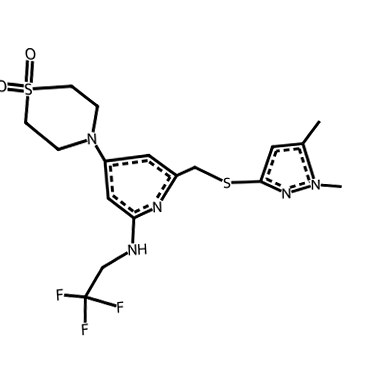 Cc1cc(SCc2cc(N3CCS(=O)(=O)CC3)cc(NCC(F)(F)F)n2)nn1C